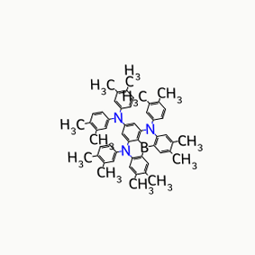 Cc1ccc(N(c2ccc(C)c(C)c2)c2cc3c4c(c2)N(c2ccc(C)c(C)c2)c2cc(C)c(C)cc2B4c2cc(C)c(C)cc2N3c2ccc(C)c(C)c2)cc1C